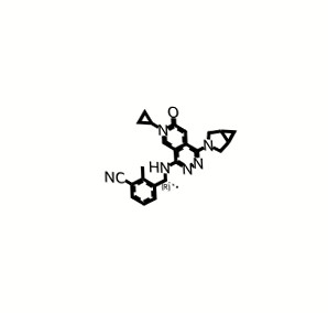 Cc1c(C#N)cccc1[C@@H](C)Nc1nnc(N2CC3CC3C2)c2cc(=O)n(C3CC3)cc12